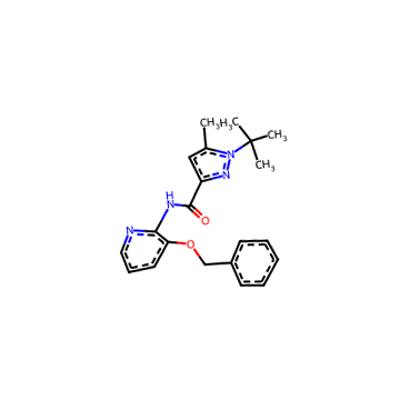 Cc1cc(C(=O)Nc2ncccc2OCc2ccccc2)nn1C(C)(C)C